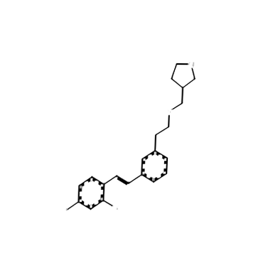 Clc1ccc(/C=C/c2cccc(CCNCC3CCNC3)c2)c(Br)c1